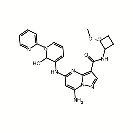 CO[C@@H]1CCC1NC(=O)c1cnn2c(N)cc(NC3=CC=CN(c4ccccn4)C3O)nc12